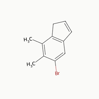 Cc1c(Br)cc2c(c1C)CC=C2